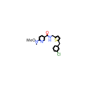 CON(C)c1ccc(C(=O)NCc2ccc(Cc3cccc(Cl)c3)s2)cn1